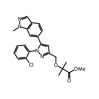 COC(=O)C(C)(C)OCc1cc(-c2ccc3cnn(C)c3c2)n(-c2ccccc2Cl)n1